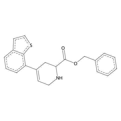 O=C(OCc1ccccc1)C1CC(c2cccc3ccsc23)=CCN1